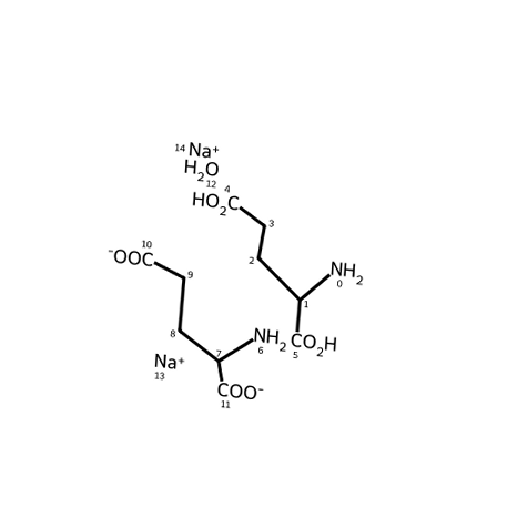 NC(CCC(=O)O)C(=O)O.NC(CCC(=O)[O-])C(=O)[O-].O.[Na+].[Na+]